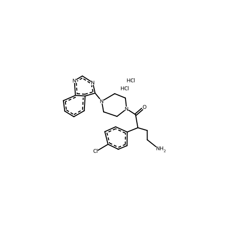 Cl.Cl.NCCC(C(=O)N1CCN(c2ncnc3ccccc23)CC1)c1ccc(Cl)cc1